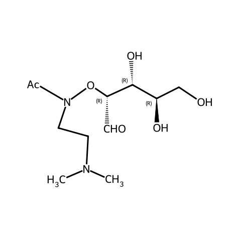 CC(=O)N(CCN(C)C)O[C@@H](C=O)[C@H](O)[C@H](O)CO